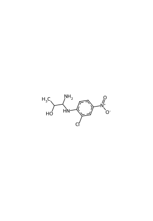 CC(O)C(N)Nc1ccc([N+](=O)[O-])cc1Cl